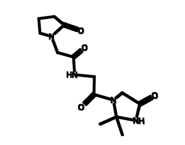 CC1(C)NC(=O)CN1C(=O)CNC(=O)CN1CCCC1=O